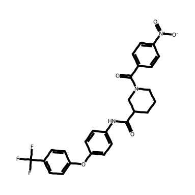 O=C(Nc1ccc(Oc2ccc(C(F)(F)F)cc2)cc1)C1CCCN(C(=O)c2ccc([N+](=O)[O-])cc2)C1